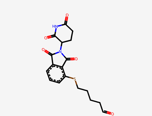 O=CCCCCSc1cccc2c1C(=O)N(C1CCC(=O)NC1=O)C2=O